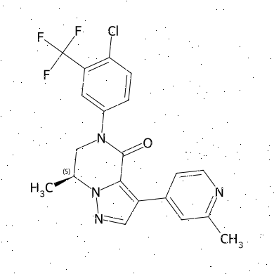 Cc1cc(-c2cnn3c2C(=O)N(c2ccc(Cl)c(C(F)(F)F)c2)C[C@@H]3C)ccn1